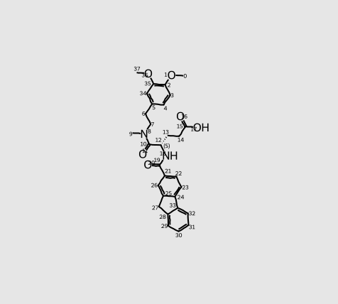 COc1ccc(CCN(C)C(=O)[C@H](CCC(=O)O)NC(=O)c2ccc3c(c2)Cc2ccccc2-3)cc1OC